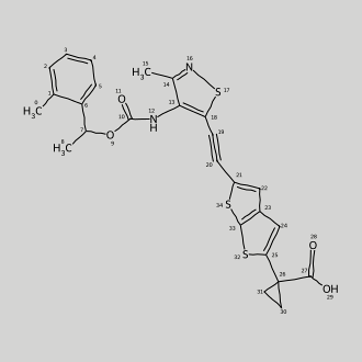 Cc1ccccc1C(C)OC(=O)Nc1c(C)nsc1C#Cc1cc2cc(C3(C(=O)O)CC3)sc2s1